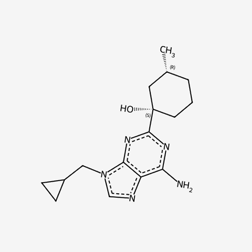 C[C@@H]1CCC[C@@](O)(c2nc(N)c3ncn(CC4CC4)c3n2)C1